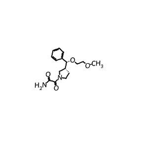 COCCO[C@@H](c1ccccc1)[C@@H]1CCN(C(=O)C(N)=O)C1